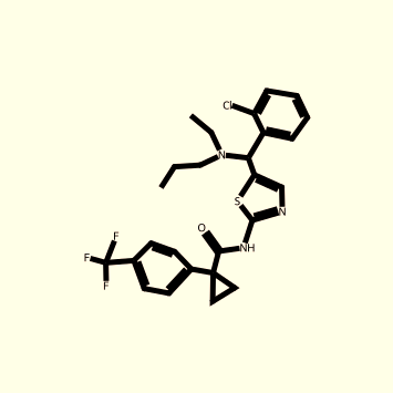 CCCN(CC)C(c1cnc(NC(=O)C2(c3ccc(C(F)(F)F)cc3)CC2)s1)c1ccccc1Cl